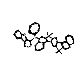 CC1(C)c2cc3c(cc2-c2c1ccc1ccccc21)C(C)(C)c1cc(N(c2ccccc2)c2cccc4c2oc2ccccc24)c2ccccc2c1-3